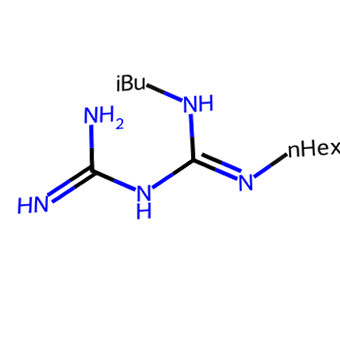 CCCCCCN=C(NC(=N)N)NC(C)CC